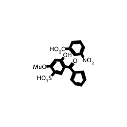 COc1cc(O)c(C(=O)c2ccccc2)cc1S(=O)(=O)O.O=C(O)c1cccc([N+](=O)[O-])c1